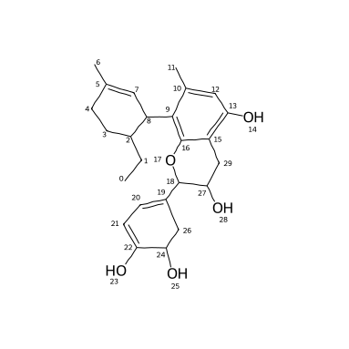 CCC1CCC(C)=CC1c1c(C)cc(O)c2c1OC(C1=CC=C(O)C(O)C1)C(O)C2